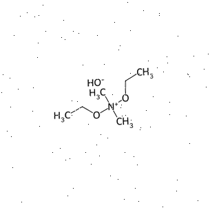 CCO[N+](C)(C)OCC.[OH-]